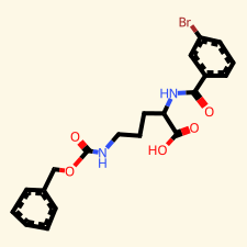 O=C(NCCCC(NC(=O)c1cccc(Br)c1)C(=O)O)OCc1ccccc1